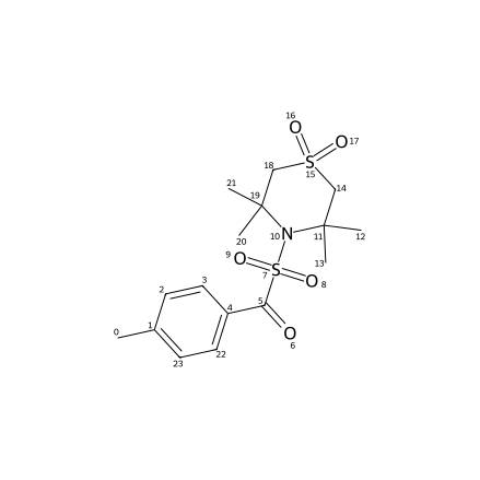 Cc1ccc(C(=O)S(=O)(=O)N2C(C)(C)CS(=O)(=O)CC2(C)C)cc1